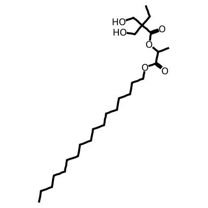 CCCCCCCCCCCCCCCCCOC(=O)C(C)OC(=O)C(CC)(CO)CO